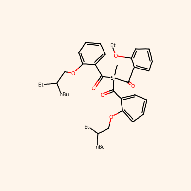 CCCCC(CC)COc1ccccc1C(=O)[Si](C)(C(=O)c1ccccc1OCC)C(=O)c1ccccc1OCC(CC)CCCC